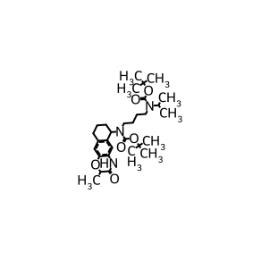 CC1Oc2cc3c(cc2NC1=O)C(N(CCCCN(C(=O)OC(C)(C)C)C(C)C)C(=O)OC(C)(C)C)CCC3